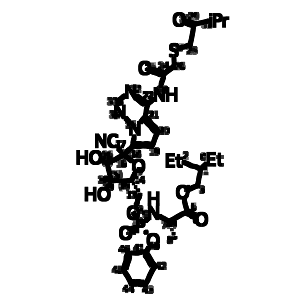 CCC(CC)COC(=O)[C@H](C)NP(=O)(OC[C@H]1O[C@@](C#N)(c2ccc3c(NC(=O)CSCC(=O)C(C)C)ncnn23)[C@H](O)[C@@H]1O)Oc1ccccc1